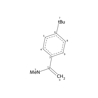 C=C(NC)c1ccc(C(C)(C)C)cc1